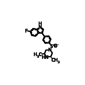 CC1CN([S+]([O-])c2ccc(-c3c[nH]c4cc(F)ccc34)cc2)C[C@H](C)N1